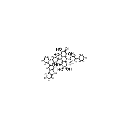 Oc1c(O)c(O)c2c(-c3ccc(-c4ccccc4-c4ccc5c(c4)-c4ccccc4C5)cc3)c3c(O)c(O)c(O)c(O)c3c(-c3ccc(-c4ccccc4)cc3)c2c1O